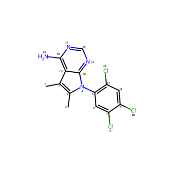 Cc1c(C)n(-c2cc(Cl)c(Cl)cc2Cl)c2ncnc(N)c12